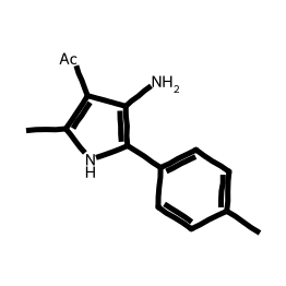 CC(=O)c1c(C)[nH]c(-c2ccc(C)cc2)c1N